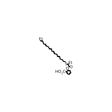 CCC=CCC=CCC=CCC=CCC=CCCCCS[C@@H](CC)C(=O)Oc1ccccc1C(=O)O